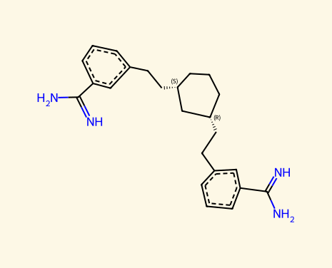 N=C(N)c1cccc(CC[C@H]2CCC[C@@H](CCc3cccc(C(=N)N)c3)C2)c1